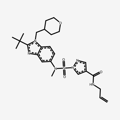 C=CCNC(=O)c1cnn(S(=O)(=O)N(C)c2ccc3c(c2)nc(C(C)(C)C)n3CC2CCOCC2)c1